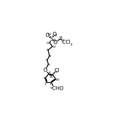 O=Cc1ccc(OCCCCCCS(=O)(=O)OCC(Cl)(Cl)Cl)c(Cl)c1